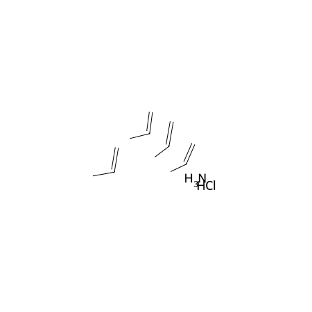 C=CC.C=CC.C=CC.C=CC.Cl.N